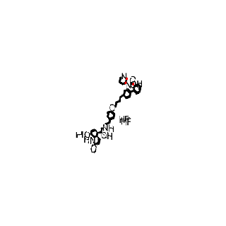 F.F.O=C(O)N(c1cc(CCCCOc2ccc(CCNC[C@H](O)c3ccc(O)c4[nH]c(=O)ccc34)cc2)ccc1-c1ccccc1)C1CN2CCC1CC2